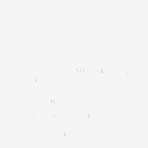 CC(C)NC(=O)c1cc2ccccc2c(I)c1NC(=O)c1cc(C(F)(F)F)nn1-c1ncccc1Cl